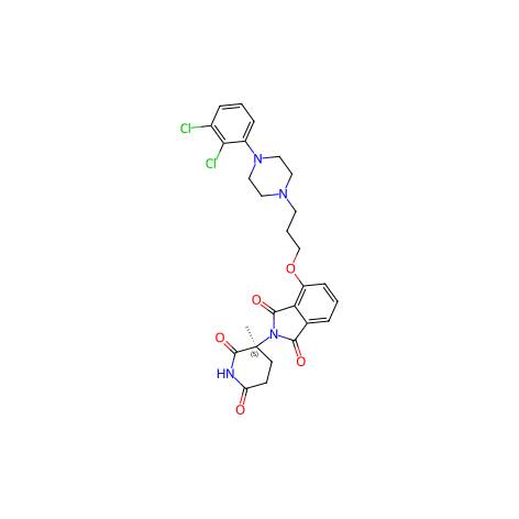 C[C@]1(N2C(=O)c3cccc(OCCCN4CCN(c5cccc(Cl)c5Cl)CC4)c3C2=O)CCC(=O)NC1=O